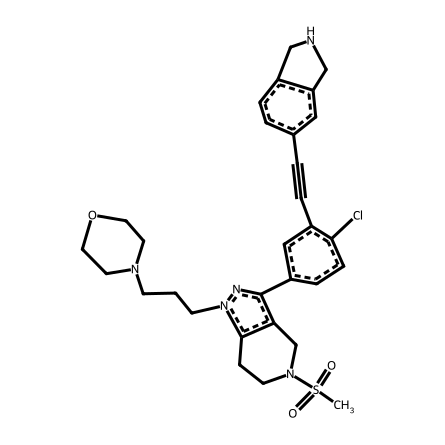 CS(=O)(=O)N1CCc2c(c(-c3ccc(Cl)c(C#Cc4ccc5c(c4)CNC5)c3)nn2CCCN2CCOCC2)C1